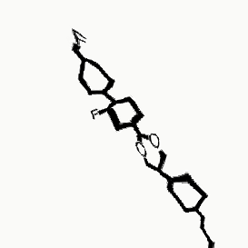 CCCCC1CCC(C2COC(C3=CCC(C4CCC(CF)CC4)C(F)=C3)OC2)CC1